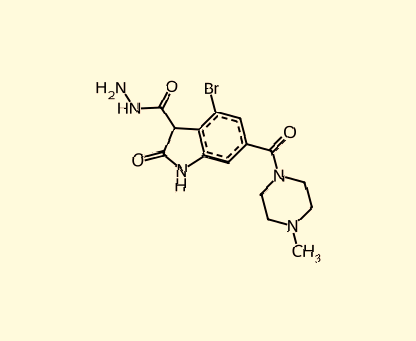 CN1CCN(C(=O)c2cc(Br)c3c(c2)NC(=O)C3C(=O)NN)CC1